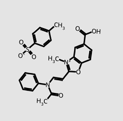 CC(=O)N(C=Cc1oc2ccc(C(=O)O)cc2[n+]1C)c1ccccc1.Cc1ccc(S(=O)(=O)[O-])cc1